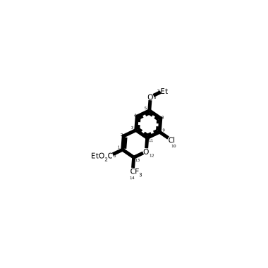 CCOC(=O)C1=Cc2cc(OCC)cc(Cl)c2OC1C(F)(F)F